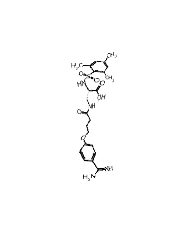 Cc1cc(C)c(S(=O)(=O)N[C@@H](CNC(=O)CCCOc2ccc(C(=N)N)cc2)C(=O)O)c(C)c1